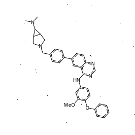 COc1cc(Nc2ncnc3ccc(-c4ccc(CN5CC6C(C5)C6N(C)C)cc4)cc23)ccc1Oc1ccccc1